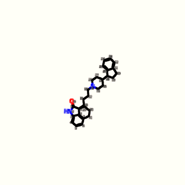 O=C1Nc2cccc3c2C1(CCCCN1CCC(C2CCc4ccccc42)CC1)CCC3